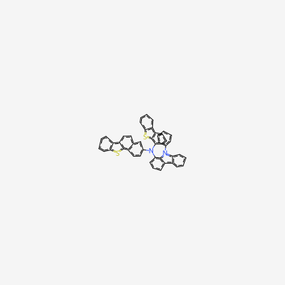 c1ccc(-n2c3ccccc3c3cccc(N(c4ccc5c(ccc6c7ccccc7sc56)c4)c4cccc5c4sc4ccccc45)c32)cc1